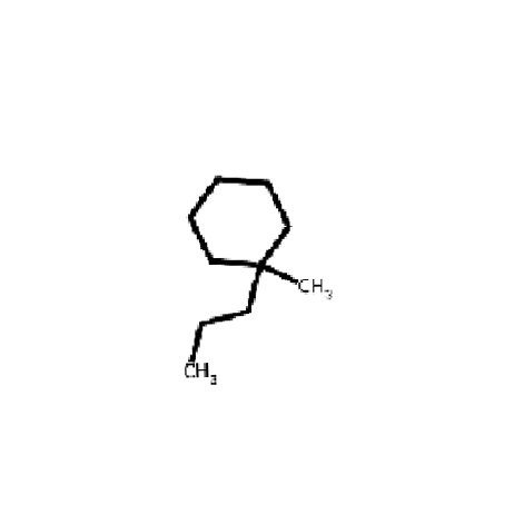 CCCC1(C)CCCCC1